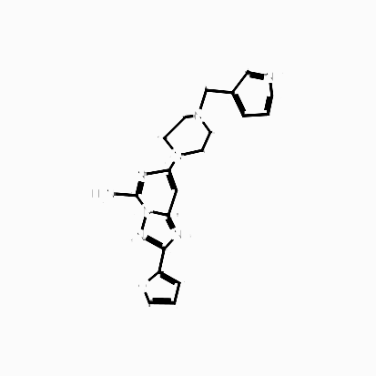 Nc1nc(N2CCN(Cc3cccnc3)CC2)cc2nc(-c3ccco3)nn12